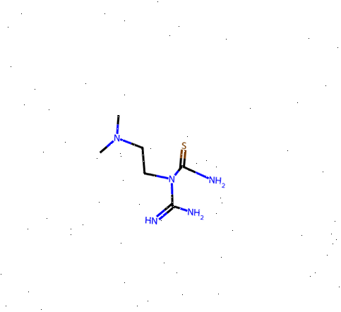 CN(C)CCN(C(=N)N)C(N)=S